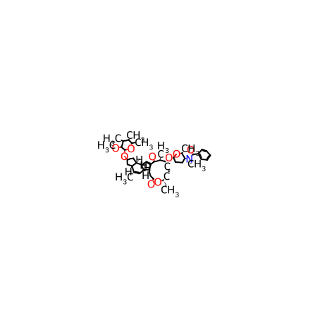 CC[C@H]1CCC[C@H](O[C@H]2CC[C@H](N(C)C(=O)c3ccccc3)C(C)O2)[C@@H](C)C(=O)C2=C[C@@H]3[C@@H](C=C(C)[C@@H]4C[C@@H](O[C@@H]5OC(C)[C@H](C)C(C)C5OC)C[C@@H]34)[C@@H]2CC(=O)O1